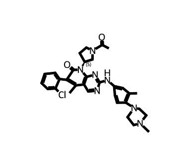 CC(=O)N1CC[C@H](n2c(=O)c(-c3ccccc3Cl)c(C)c3cnc(Nc4ccc(N5CCN(C)CC5)c(C)c4)nc32)C1